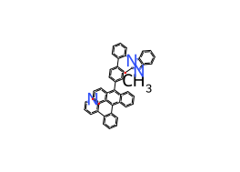 CCc1nc2ccccc2n1-c1ccccc1-c1ccc(-c2c3ccccc3c(-c3ccccc3-c3cccnc3)c3ccccc23)cc1